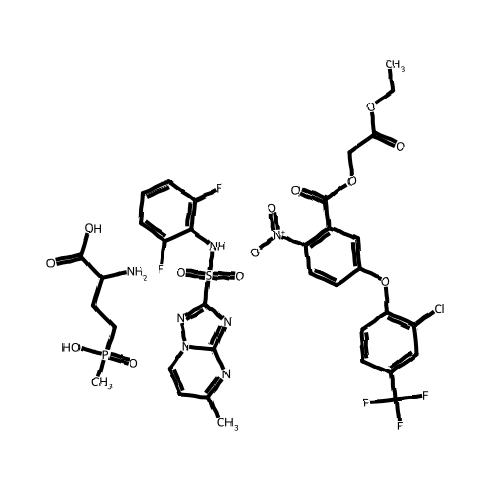 CCOC(=O)COC(=O)c1cc(Oc2ccc(C(F)(F)F)cc2Cl)ccc1[N+](=O)[O-].CP(=O)(O)CCC(N)C(=O)O.Cc1ccn2nc(S(=O)(=O)Nc3c(F)cccc3F)nc2n1